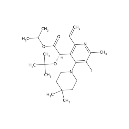 C=Cc1nc(C)c(I)c(N2CCC(C)(C)CC2)c1[C@H](OC(C)(C)C)C(=O)OC(C)C